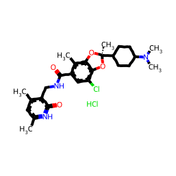 Cc1cc(C)c(CNC(=O)c2cc(Cl)c3c(c2C)O[C@@](C)(C2CCC(N(C)C)CC2)O3)c(=O)[nH]1.Cl